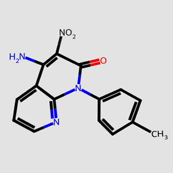 Cc1ccc(-n2c(=O)c([N+](=O)[O-])c(N)c3cccnc32)cc1